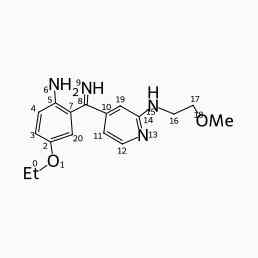 CCOc1ccc(N)c(C(=N)c2ccnc(NCCOC)c2)c1